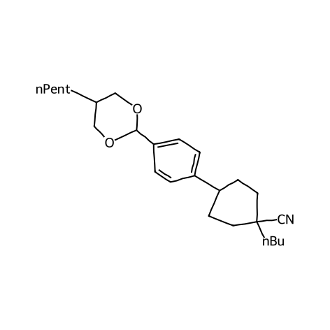 CCCCCC1COC(c2ccc(C3CCC(C#N)(CCCC)CC3)cc2)OC1